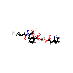 CCCC(=O)N[C@H]1Cc2cccc(C(=O)OCOC(=O)Cc3cccnc3)c2OB1O